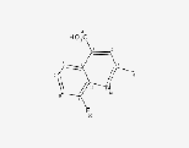 Cc1cc(C(=O)O)c2cccc(F)c2n1